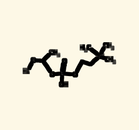 CCOC(C)OP(=O)(O)OCC[N+](C)(C)C